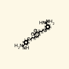 N=C(N)c1ccc(OCCCN2CCN(CCCOc3cccc(C(=N)N)c3)C(=O)C2=O)cc1